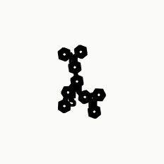 c1ccc(N(c2ccccc2)c2ccc(-c3ccc4c(c3)c3ccc5c6ccccc6sc5c3n4-c3ccc4c(c3)c3ccccc3n4-c3ccccc3)cc2)cc1